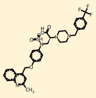 Cc1cc(COc2ccc(N(C[C@@H](C(=O)O)N3CCN(Cc4ccc(C(F)(F)F)cc4)CC3)[SH](=O)=O)cc2)c2ccccc2n1